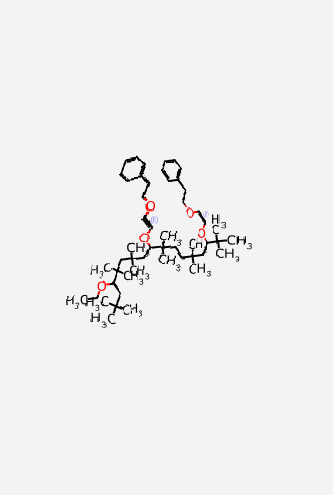 CCOC(CC(C)(C)C)C(C)(C)CC(C)(C)CC(O/C=C/OCCC1=CC=CCC1)C(C)(C)CCC(C)(C)CC(O/C=C\OCCc1ccccc1)C(C)(C)C